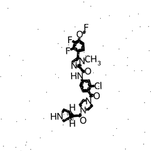 Cn1c(-c2ccc(OCF)c(F)c2F)cnc1C(=O)Nc1ccc(C(=O)N2CCN(C(=O)C3[C@H]4CNC[C@@H]34)CC2)c(Cl)c1